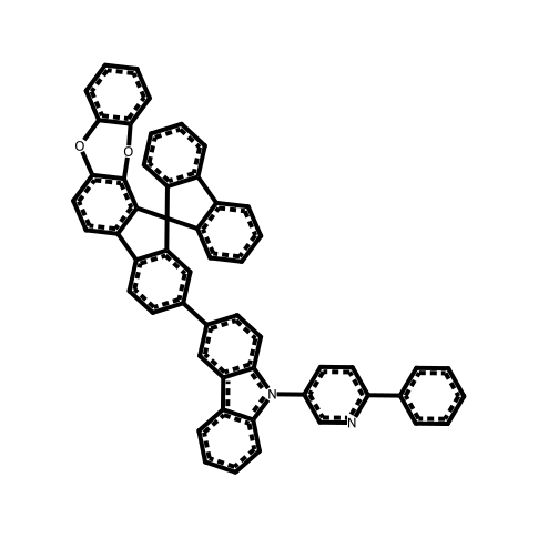 c1ccc(-c2ccc(-n3c4ccccc4c4cc(-c5ccc6c(c5)C5(c7ccccc7-c7ccccc75)c5c-6ccc6c5Oc5ccccc5O6)ccc43)cn2)cc1